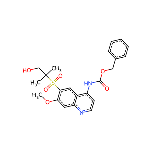 COc1cc2nccc(NC(=O)OCc3ccccc3)c2cc1S(=O)(=O)C(C)(C)CO